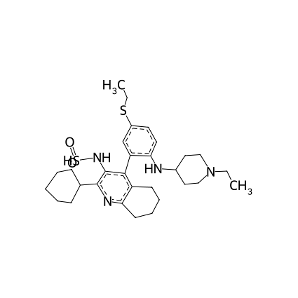 CCSc1ccc(NC2CCN(CC)CC2)c(-c2c3c(nc(C4CCCCC4)c2N[SH](=O)=O)CCCC3)c1